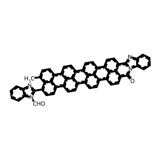 Cc1ccc2c3ccc4c5ccc6c7ccc8c9c(ccc(c%10ccc(c%11ccc(c%12ccc(-c%13nc%14ccccc%14n%13C=O)c1c%122)c3c%114)c5c%106)c79)c(=O)n1c2ccccc2nc81